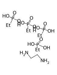 CCP(=O)(O)O.CCP(=O)(O)O.CCP(=O)(O)O.CCP(=O)(O)O.NCCN